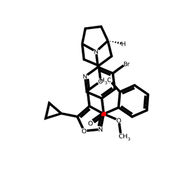 COC(=O)c1cnc(N2C3CC[C@H]2CC(OCc2c(-c4ccccc4C)noc2C2CC2)C3)c(Br)c1